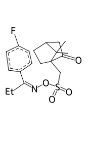 CCC(=NOS(=O)(=O)CC12CCC(CC1=O)C2(C)C)c1ccc(F)cc1